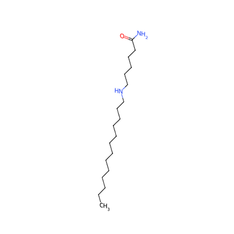 CCCCCCCCCCCCCNCCCCCC(N)=O